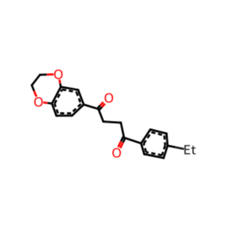 CCc1ccc(C(=O)CCC(=O)c2ccc3c(c2)OCCO3)cc1